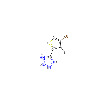 Cc1c(Br)csc1-c1nnn[nH]1